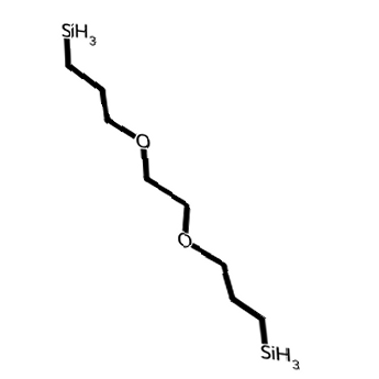 [SiH3]CCCOCCOCCC[SiH3]